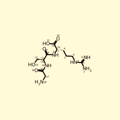 N=C(N)NCCC[C@H](NC(=O)[C@H](CO)NC(=O)CN)C(=O)O